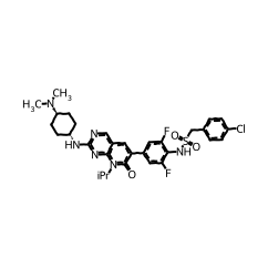 CC(C)n1c(=O)c(-c2cc(F)c(NS(=O)(=O)Cc3ccc(Cl)cc3)c(F)c2)cc2cnc(N[C@H]3CC[C@H](N(C)C)CC3)nc21